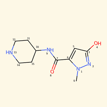 Cn1nc(O)cc1C(=O)NC1CCNCC1